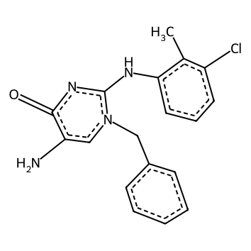 Cc1c(Cl)cccc1Nc1nc(=O)c(N)cn1Cc1ccccc1